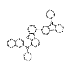 c1ccc(N(c2ccc3ccccc3c2)c2cccc3c2oc2cccc(-c4ccc5c6ccccc6n(-c6ccccc6)c5c4)c23)cc1